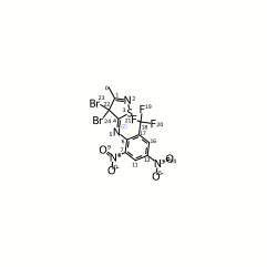 CC1=NS/C(=N\c2c([N+](=O)[O-])cc([N+](=O)[O-])cc2C(F)(F)F)C1(Br)Br